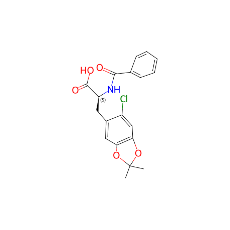 CC1(C)Oc2cc(Cl)c(C[C@H](NC(=O)c3ccccc3)C(=O)O)cc2O1